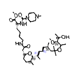 COC(=O)[C@@H](CCCCNC(=O)C[C@H]1CC[C@H](C)[C@@H](/C(C)=C/C=C/[C@@H](C)CC(C)(C)OC(C)[C@@H](OC)[C@@H](C)O)O1)NC(=O)N1CCN(C)CC1